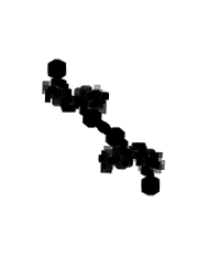 CN[C@@H](C)C(=O)N[C@@H](Cc1ccc(C#Cc2ccc(C[C@H](NC(=O)[C@H](C)NC)C(=O)N3CCC[C@H]3CN(CCc3ccccc3)C(=O)C(F)(F)F)cc2)cc1)C(=O)N1CCC[C@H]1CN(CCc1ccccc1)C(=O)C(F)(F)F